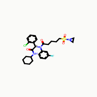 O=C(NC1CCCCC1)[C@@H](c1ccccc1Cl)N(C(=O)CCCCS(=O)(=O)N1CC1)c1cccc(F)c1